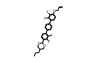 C=CCOc1ccc(-c2ccc(-c3ccc(C4OCC(CCC)CO4)c(F)c3F)cc2)c(F)c1F